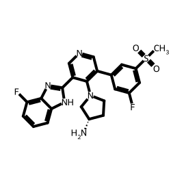 CS(=O)(=O)c1cc(F)cc(-c2cncc(-c3nc4c(F)cccc4[nH]3)c2N2CC[C@H](N)C2)c1